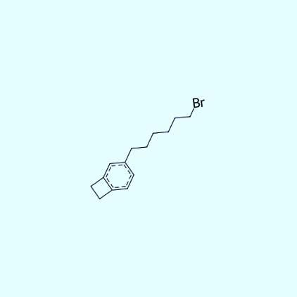 BrCCCCCCc1ccc2c(c1)CC2